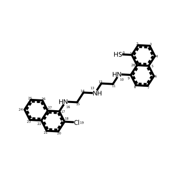 Sc1cccc2cccc(NCCNCCNc3c(Cl)ccc4ccccc34)c12